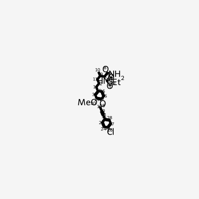 CCS(=O)(=O)NC(C(N)=O)C(C)CCCc1ccc(OCC#Cc2ccc(Cl)cc2)c(OC)c1